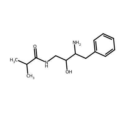 CC(C)C(=O)NCC(O)C(N)Cc1ccccc1